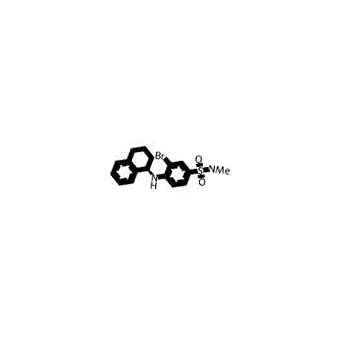 CNS(=O)(=O)c1ccc(N[C@@H]2CCCc3ccccc32)c(Br)c1